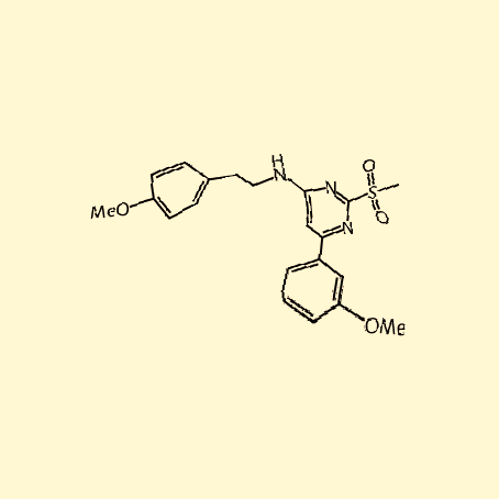 COc1ccc(CCNc2cc(-c3cccc(OC)c3)nc(S(C)(=O)=O)n2)cc1